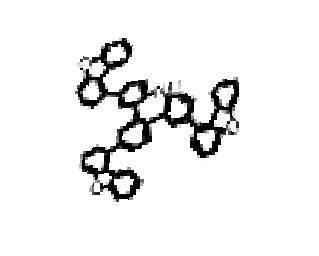 c1ccc2c(c1)oc1cccc(-c3ccc4c(c3)-c3ccc(-c5cccc6oc7ccccc7c56)cc3-c3cc(-c5cccc6oc7ccccc7c56)ccc3N4)c12